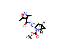 Cc1noc(C)c1C(=O)NC[C@@H]1C[C@@H]2C[C@@H]2N1C(=O)OC(C)(C)C